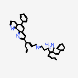 C=C\C=C/C(CC/C=N/C/C=C/C(CC=C)c1cnc2c(c1)cc(-c1ccccc1)c1cccnc12)=C(\C=C/C1=CCCC=C1)CN